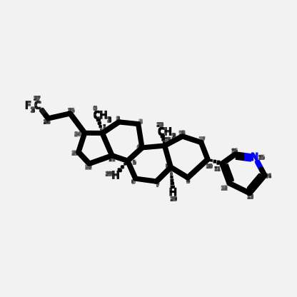 C[C@]12CCC3[C@@H](CC[C@@H]4C[C@@H](c5cccnc5)CC[C@]34C)C1CCC2CCC(F)(F)F